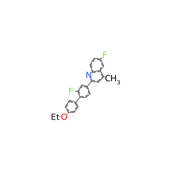 CCOc1ccc(-c2ccc(-c3cc(C)c4cc(F)ccc4n3)cc2F)cc1